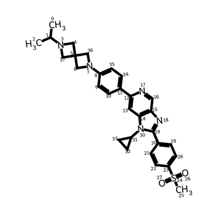 CC(C)N1CC2(CN(c3ccc(-c4cc5c(cn4)nc(-c4ccc(S(C)(=O)=O)cc4)n5C4CC4)cc3)C2)C1